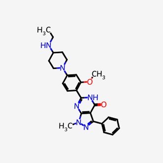 CCNC1CCN(c2ccc(-c3nc4c(c(-c5ccccc5)nn4C)c(=O)[nH]3)c(OC)c2)CC1